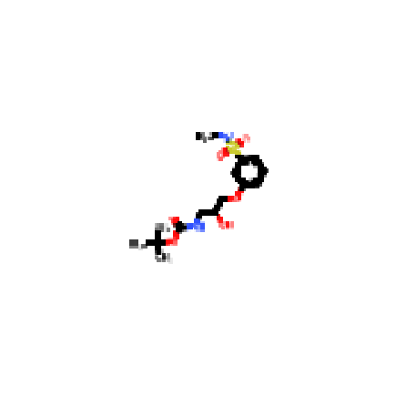 CNS(=O)(=O)c1cccc(OC[C@@H](O)CNC(=O)OC(C)(C)C)c1